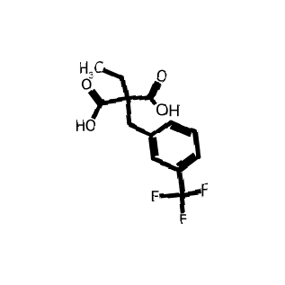 CCC(Cc1cccc(C(F)(F)F)c1)(C(=O)O)C(=O)O